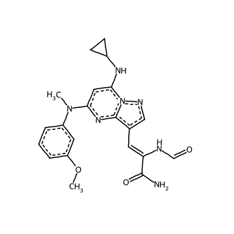 COc1cccc(N(C)c2cc(NC3CC3)n3ncc(/C=C(\NC=O)C(N)=O)c3n2)c1